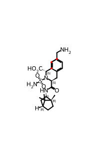 CC1(C)[C@@H]2CC[C@@]1(C)[C@@H](NC(=O)[C@H](Cc1ccccc1)N([C@@H](CCCCN)C(=O)O)S(N)(=O)=O)C2